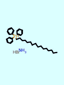 Br.CCCCCCCCCCCCCCCC[PH](c1ccccc1)(c1ccccc1)c1ccccc1.N